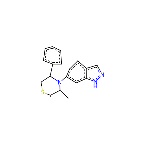 CC1[CH]SCC(c2ccccc2)N1c1ccc2cn[nH]c2c1